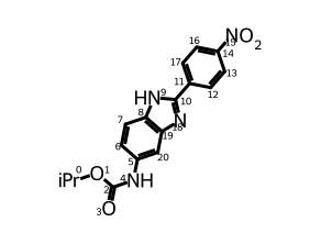 CC(C)OC(=O)Nc1ccc2[nH]c(-c3ccc([N+](=O)[O-])cc3)nc2c1